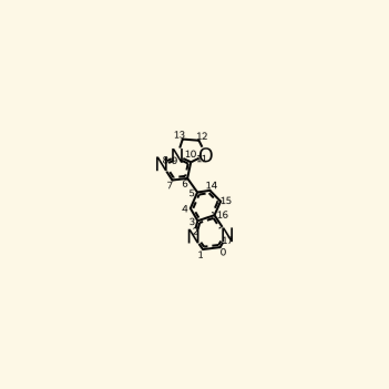 c1cnc2cc(-c3cnn4c3OCC4)ccc2n1